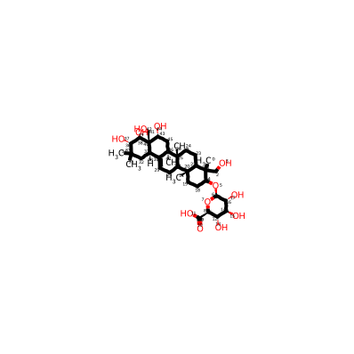 CC1(CO)C(O[C@@H]2O[C@H](C(=O)O)[C@@H](O)[C@H](O)[C@H]2O)CC[C@@]2(C)C1CC[C@]1(C)C2CC=C2[C@H]3CC(C)(C)[C@H](O)[C@@H](O)[C@]3(CO)[C@H](O)C[C@]21C